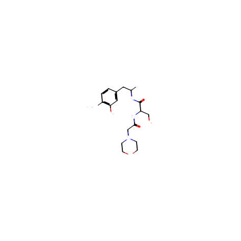 COc1ccc(CC(NC(=O)C(CO)NC(=O)CN2CCOCC2)C(=O)O)cc1O